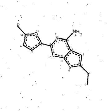 CCc1cc2c(N)nc(-c3ccc(C)o3)nc2s1